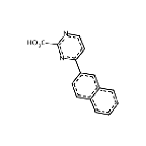 O=C(O)c1nccc(-c2ccc3ccccc3c2)n1